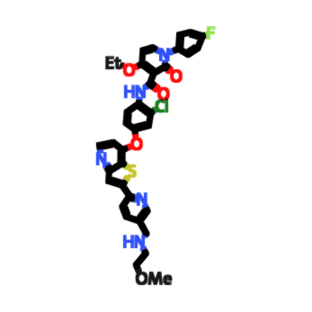 CCOc1ccn(-c2ccc(F)cc2)c(=O)c1C(=O)Nc1ccc(Oc2ccnc3cc(-c4ccc(CNCCOC)cn4)sc23)cc1Cl